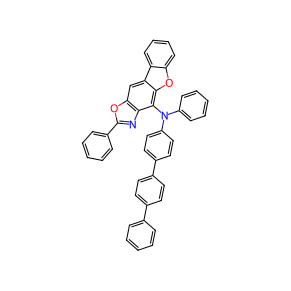 c1ccc(-c2ccc(-c3ccc(N(c4ccccc4)c4c5nc(-c6ccccc6)oc5cc5c4oc4ccccc45)cc3)cc2)cc1